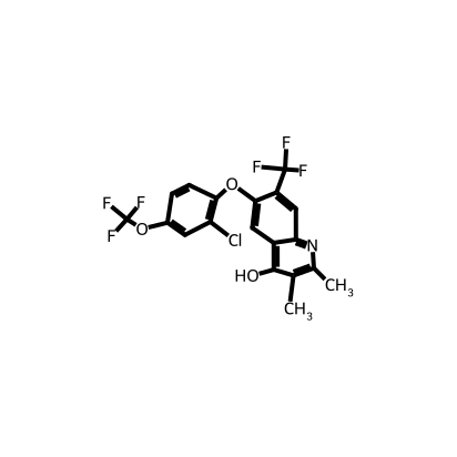 Cc1nc2cc(C(F)(F)F)c(Oc3ccc(OC(F)(F)F)cc3Cl)cc2c(O)c1C